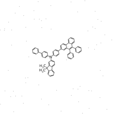 CC1(C)c2ccccc2-c2ccc(N(c3ccc(-c4ccccc4)cc3)c3ccc(-c4ccc5c(c4)c(-c4ccccc4)c(-c4ccccc4)c4ccccc45)cc3)cc21